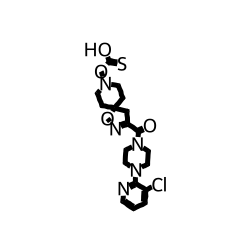 O=C(C1=NOC2(CCN(OC(O)=S)CC2)C1)N1CCN(c2ncccc2Cl)CC1